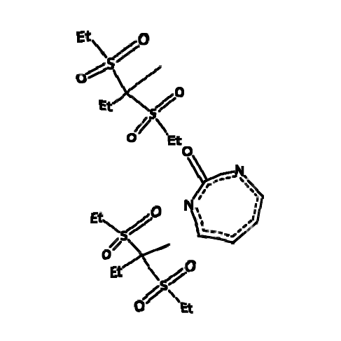 CCC(C)(S(=O)(=O)CC)S(=O)(=O)CC.CCC(C)(S(=O)(=O)CC)S(=O)(=O)CC.O=c1nccccn1